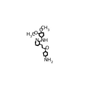 COc1ccc(Nc2ncccc2C=CC(=O)c2ccc(N)cc2)cc1OC